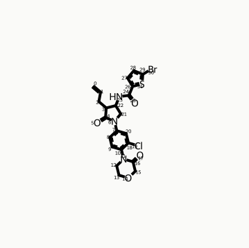 C=CCC1C(=O)N(c2ccc(N3CCOCC3=O)c(Cl)c2)CC1NC(=O)c1ccc(Br)s1